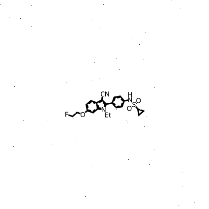 CCn1c(-c2ccc(NS(=O)(=O)C3CC3)cc2)c(C#N)c2ccc(OCCF)cc21